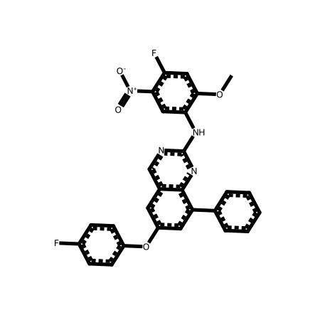 COc1cc(F)c([N+](=O)[O-])cc1Nc1ncc2cc(Oc3ccc(F)cc3)cc(-c3ccccc3)c2n1